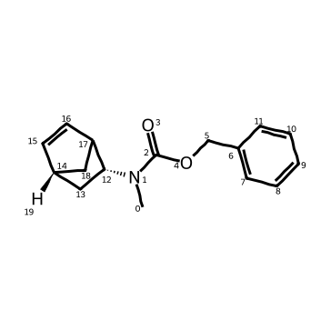 CN(C(=O)OCc1ccccc1)[C@@H]1C[C@@H]2C=CC1C2